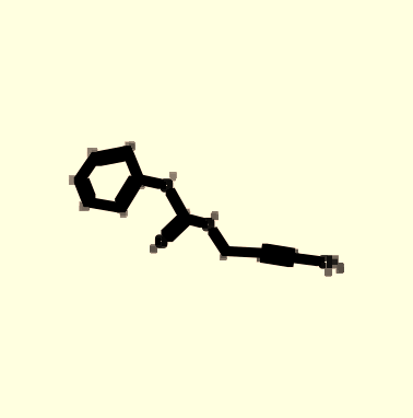 CC#CCOC(=O)Oc1ccccc1